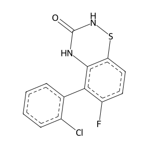 O=C1NSc2ccc(F)c(-c3ccccc3Cl)c2N1